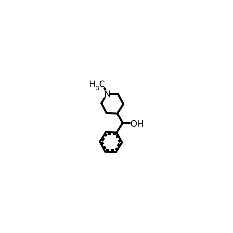 CN1CCC(C(O)c2ccccc2)CC1